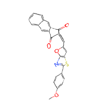 COc1ccc(-c2nc3oc(C=C4C(=O)c5cc6ccccc6cc5C4=O)cc3s2)cc1